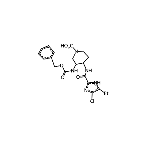 CCc1[nH]c(C(=O)NC2CCN(C(=O)O)CC2NC(=O)OCc2ccccc2)nc1Cl